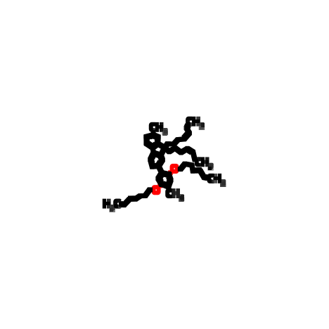 C=C/C=C\CCCC1(CCC/C=C\C=C)c2cc(C)ccc2-c2ccc(-c3cc(OCCC/C=C/C=C)c(C)cc3OCCC/C=C/C=C)cc21